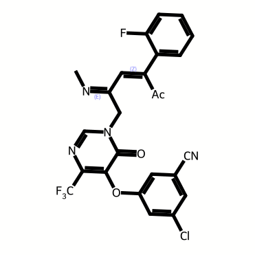 C/N=C(\C=C(/C(C)=O)c1ccccc1F)Cn1cnc(C(F)(F)F)c(Oc2cc(Cl)cc(C#N)c2)c1=O